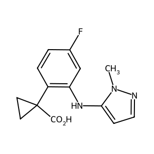 Cn1nccc1Nc1cc(F)ccc1C1(C(=O)O)CC1